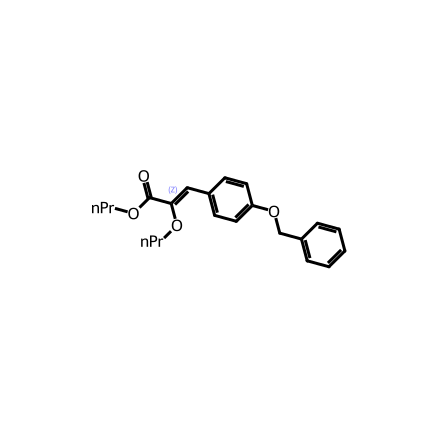 CCCOC(=O)/C(=C/c1ccc(OCc2ccccc2)cc1)OCCC